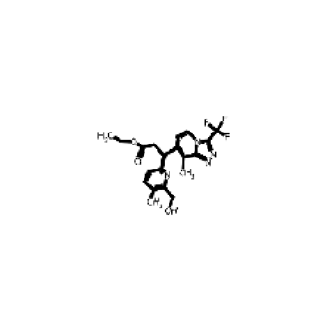 CCOC(=O)CC(c1ccc(C)c(CO)n1)c1ccn2c(C(F)(F)F)nnc2c1C